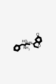 N[C@@H](Cc1ccccc1)[C@H](O)CN[C@H]1CCOc2ccc(Cl)cc21